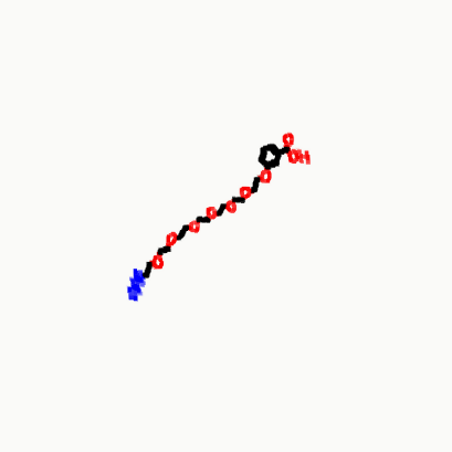 [N-]=[N+]=NCCOCCOCCOCCOCCOCCOCCOc1cccc(C(=O)O)c1